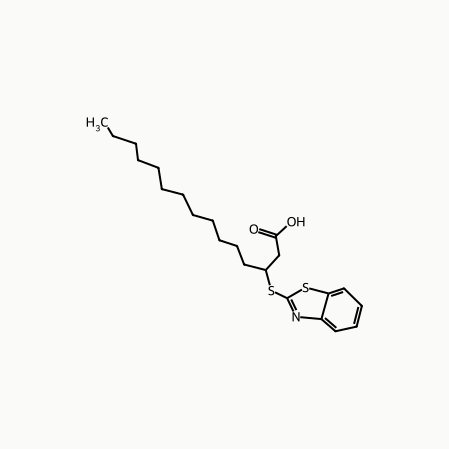 CCCCCCCCCCCCC(CC(=O)O)Sc1nc2ccccc2s1